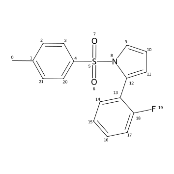 Cc1ccc(S(=O)(=O)n2cccc2-c2ccccc2F)cc1